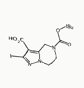 CC(C)(C)OC(=O)N1CCn2nc(I)c(C(=O)O)c2C1